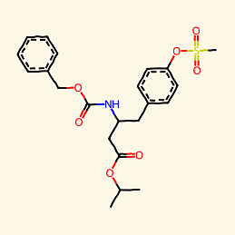 CC(C)OC(=O)CC(Cc1ccc(OS(C)(=O)=O)cc1)NC(=O)OCc1ccccc1